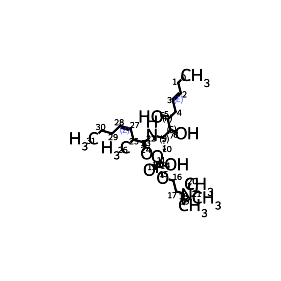 CC/C=C/C[C@@H](O)[C@@H](O)[C@H](COP(=O)(O)OCC[N+](C)(C)C)NC(=O)C(C)/C=C\CCC